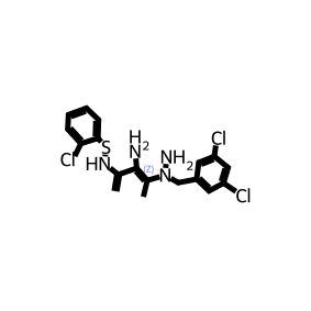 C=C(NSc1ccccc1Cl)/C(N)=C(\C)N(N)Cc1cc(Cl)cc(Cl)c1